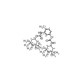 Cc1ccc(OC(=O)NC2CC(C)(C)N(C)C(C)(C)C2)cc1NC(=O)OC1CC(C)(C)N(C)C(C)(C)C1